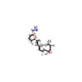 CC[C@H](OC)[C@@H](C)[C@H]1O[C@]1(C)C[C@H](C)/C=C/C=C(\C)[C@H]1O[C@@H](CNI)CC[C@@H]1C